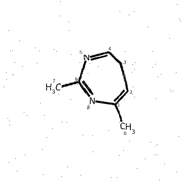 CC1=CCC=NC(C)=N1